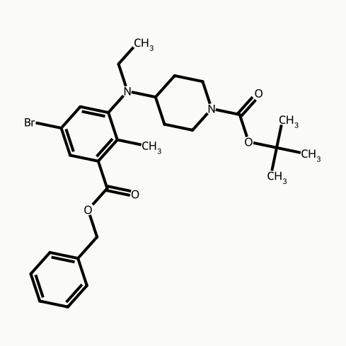 CCN(c1cc(Br)cc(C(=O)OCc2ccccc2)c1C)C1CCN(C(=O)OC(C)(C)C)CC1